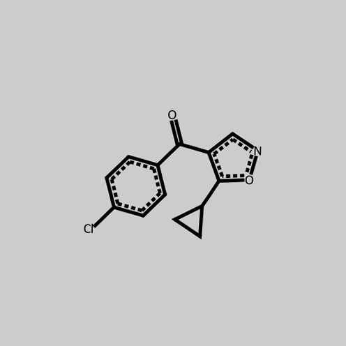 O=C(c1ccc(Cl)cc1)c1cnoc1C1CC1